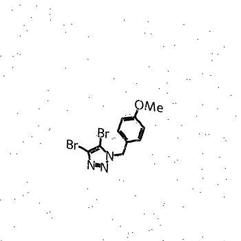 COc1ccc(Cn2nnc(Br)c2Br)cc1